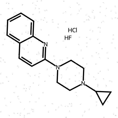 Cl.F.c1ccc2nc(N3CCN(C4CC4)CC3)ccc2c1